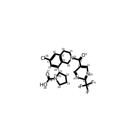 O=C(c1cnc(C(F)(F)F)nc1)N1CCc2cc(Cl)cc([C@@H]3CCCN3C(=O)O)c2C1